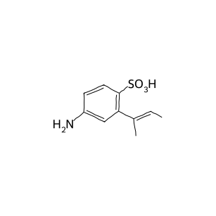 CC=C(C)c1cc(N)ccc1S(=O)(=O)O